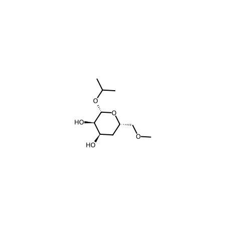 COC[C@@H]1C[C@@H](O)[C@@H](O)[C@H](OC(C)C)O1